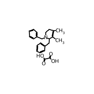 CC1=C(C)C(Cc2ccccc2)N(Cc2ccccc2)CC1.O=C(O)C(=O)O